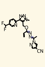 C=C/C(=N\N=C(/C)n1cc(C#N)cn1)OCc1c(-c2ccc(C(F)F)cn2)nnn1C